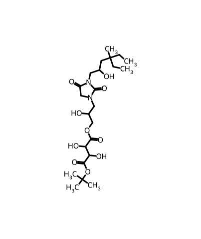 CCC(C)(CC)CC(O)CN1C(=O)CN(CC(O)COC(=O)C(O)C(O)C(=O)OC(C)(C)C)C1=O